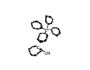 Oc1ccccc1.c1cc[c]([Pb]([c]2ccccc2)([c]2ccccc2)[c]2ccccc2)cc1